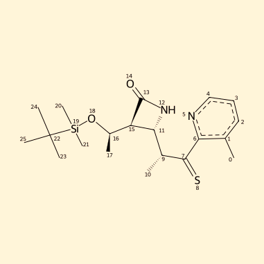 Cc1cccnc1C(=S)[C@H](C)[C@H]1NC(=O)[C@@H]1[C@@H](C)O[Si](C)(C)C(C)(C)C